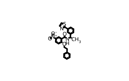 CC(NC(=O)c1cc([N+](=O)[O-])ccc1OCCc1ccccc1)c1cccc(-c2nccs2)c1